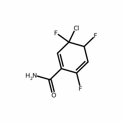 NC(=O)C1=CC(F)(Cl)C(F)C=C1F